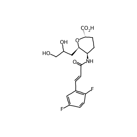 O=C(/C=C/c1cc(F)ccc1F)N[C@@H]1CC[C@@H](C(=O)O)O[C@@H]1CC(O)CO